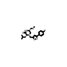 CSC[C@H]1CN(Cc2cc(-c3ccc(F)cc3)on2)[C@@H](CC(C)C)C(=O)N1